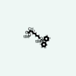 CC(CCCCCCO[Si](c1ccccc1)(c1ccccc1)C(C)(C)C)C(=O)OC(C)(C)C